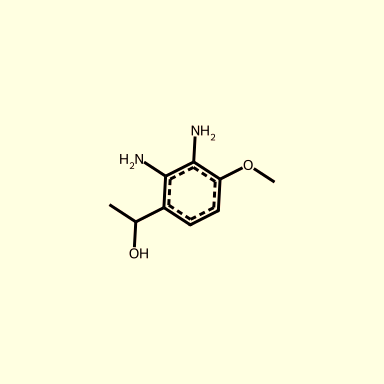 COc1ccc(C(C)O)c(N)c1N